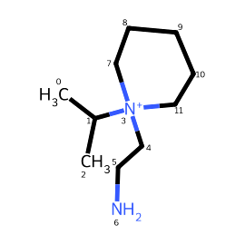 CC(C)[N+]1(CCN)CCCCC1